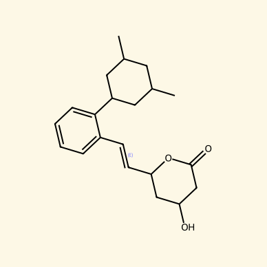 CC1CC(C)CC(c2ccccc2/C=C/C2CC(O)CC(=O)O2)C1